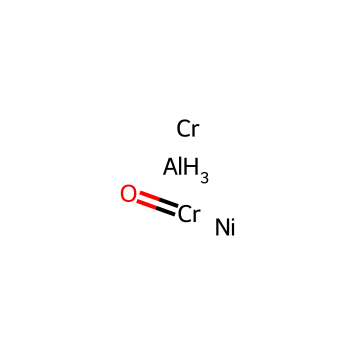 [AlH3].[Cr].[Ni].[O]=[Cr]